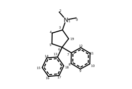 CN(C)C1CCC(c2ccccc2)(c2ccccc2)C1